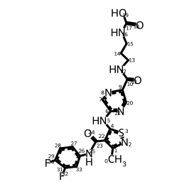 Cc1nsc(Nc2cnc(C(=O)NCCCNC(=O)O)cn2)c1C(=O)Nc1ccc(F)c(F)c1